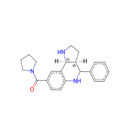 O=C(c1ccc2c(c1)[C@H]1NCC[C@H]1C(c1ccccc1)N2)N1CCCC1